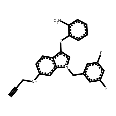 C#CCNc1ccc2c(Sc3ccccc3[N+](=O)[O-])cn(Cc3cc(F)cc(F)c3)c2c1